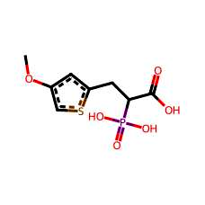 COc1csc(CC(C(=O)O)P(=O)(O)O)c1